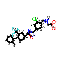 Cc1ccccc1-c1ccc(-c2nc(-c3ccc(CN(C)CC(=O)O)c(Cl)c3)no2)cc1C(F)(F)F